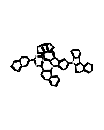 c1ccc(-c2nc(-c3ccc4ccccc4c3)nc(-c3ccc4ccccc4c3-n3c4ccc(-n5c6ccccc6c6c7ccccc7ccc65)cc4c4cc5ccccc5cc43)n2)cc1